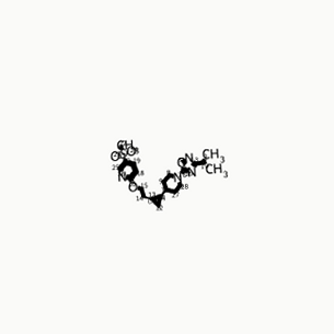 CC(C)c1noc(N2CCC([C@H]3C[C@H]3CCOc3ccc(S(C)(=O)=O)cn3)CC2)n1